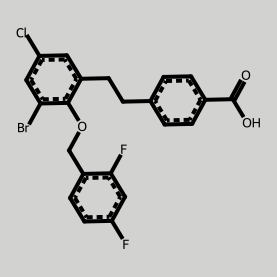 O=C(O)c1ccc(CCc2cc(Cl)cc(Br)c2OCc2ccc(F)cc2F)cc1